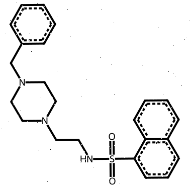 O=S(=O)(NCCN1CCN(Cc2ccccc2)CC1)c1cccc2ccccc12